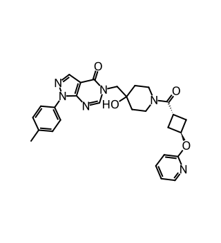 Cc1ccc(-n2ncc3c(=O)n(CC4(O)CCN(C(=O)[C@H]5C[C@H](Oc6ccccn6)C5)CC4)cnc32)cc1